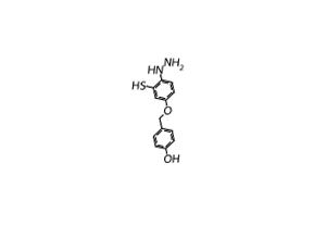 NNc1ccc(OCc2ccc(O)cc2)cc1S